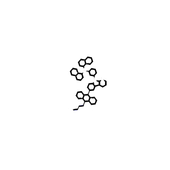 C/C=C\C=C(/C)c1c2ccccc2c(-c2ccc3c(c2)c2cccnc2n3-c2cccc(N(c3cccc4ccccc34)c3cccc4ccccc34)c2)c2ccccc12